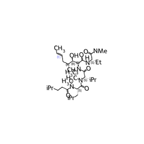 C/C=C/C[C@@H](C)[C@@H](O)[C@@H](C(=O)N[C@@H](CC)C(=O)NC)N(C)C(=O)[C@H](C(C)C)N(C)C(=O)[C@H](CC(C)C)N(C)C(=O)CCC(C)C